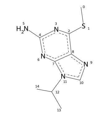 CSc1nc(N)nc2c1ncn2C(C)C